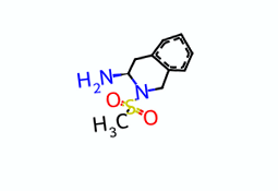 CS(=O)(=O)N1Cc2ccccc2C[C@@H]1N